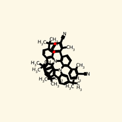 Cc1c(C#N)cccc1-c1ccc(-c2cccc(C#N)c2C)c(-n2c3cc(C(C)(C)C)ccc3c3ccc(C(C)(C)C)cc32)c1-n1c2cc(C(C)(C)C)ccc2c2ccc(C(C)(C)C)cc21